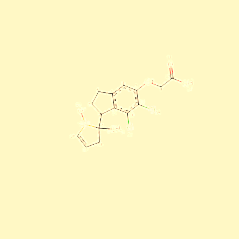 CC1(C2CCc3cc(OCC(=O)O)c(Cl)c(Cl)c32)CC=C[S+]1[O-]